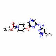 CC(C)c1cc(Nc2cncc(OC3CCN(C(=O)OC(C)(C)C)CC3)n2)n[nH]1